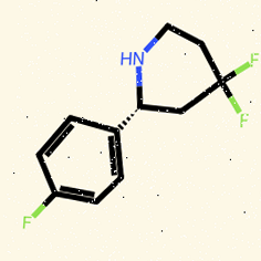 Fc1ccc([C@H]2CC(F)(F)CCN2)cc1